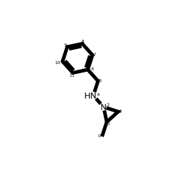 CC1CN1NCc1ccccc1